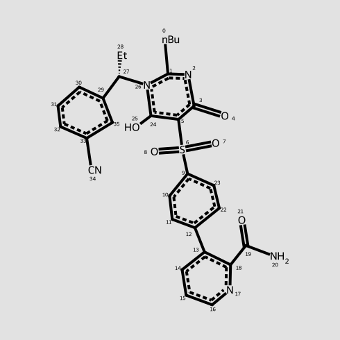 CCCCc1nc(=O)c(S(=O)(=O)c2ccc(-c3cccnc3C(N)=O)cc2)c(O)n1[C@@H](CC)c1cccc(C#N)c1